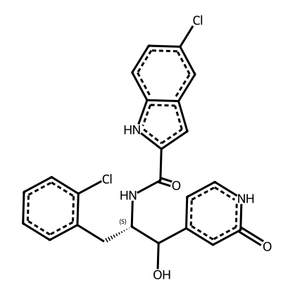 O=C(N[C@@H](Cc1ccccc1Cl)C(O)c1cc[nH]c(=O)c1)c1cc2cc(Cl)ccc2[nH]1